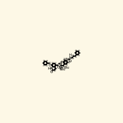 CC(C)(C)C(CN(C[C@H](O[Si](C)(C)C(C)(C)C)c1ccc(OCc2ccccc2)c2[nH]c(=O)ccc12)C(=O)O)c1ccc(NC(=O)NCCCc2ccccc2)cc1